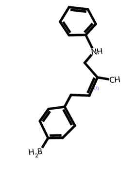 Bc1ccc(C/C=C(/C)CNc2ccccc2)cc1